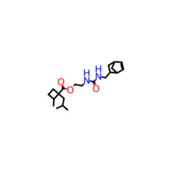 CC(C)CC1(C(=O)OCCNC(=O)NCC2CC3C=CC2C3)CCC1C